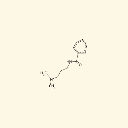 CN(C)CCCNC(=O)c1ccccc1